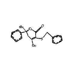 CCCCC1(c2ccccc2)CC(O)=C(SCc2ccccc2)C(=O)O1